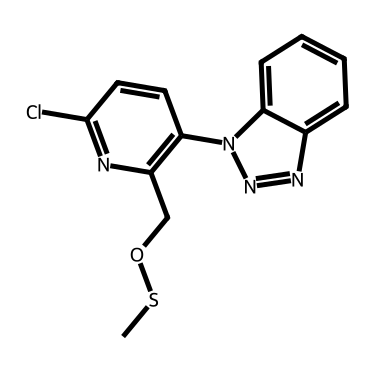 CSOCc1nc(Cl)ccc1-n1nnc2ccccc21